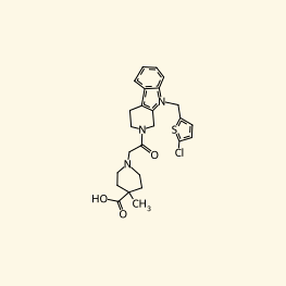 CC1(C(=O)O)CCN(CC(=O)N2CCc3c(n(Cc4ccc(Cl)s4)c4ccccc34)C2)CC1